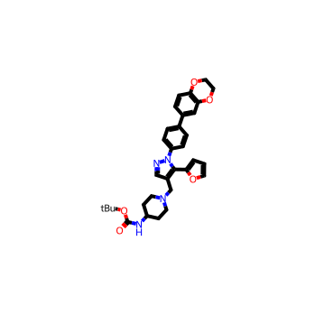 CC(C)(C)OC(=O)NC1CCN(Cc2cnn(-c3ccc(-c4ccc5c(c4)OCCO5)cc3)c2-c2ccco2)CC1